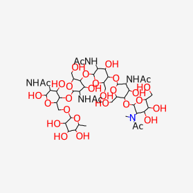 CC(=O)NC1C(O)OC(COC2OC(C)C(O)C(O)C2O)C(OC2OC(CO)C(OC3OC(CO)C(OC4OC(CO)C(OC5OC(CO)C(O)C(O)C5N(C)C(C)=O)C(O)C4NC(C)=O)C(O)C3NC(C)=O)C(O)C2NC(C)=O)C1O